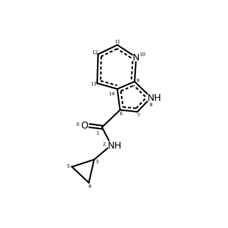 O=C(NC1CC1)c1c[nH]c2ncccc12